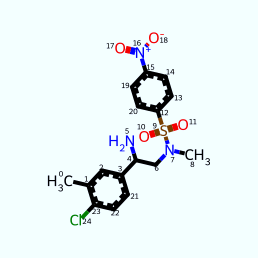 Cc1cc(C(N)CN(C)S(=O)(=O)c2ccc([N+](=O)[O-])cc2)ccc1Cl